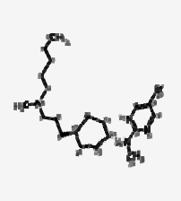 CCCCCN(C)CCC[C@H]1CC[C@H](N(C)c2ncc(Br)cn2)CC1